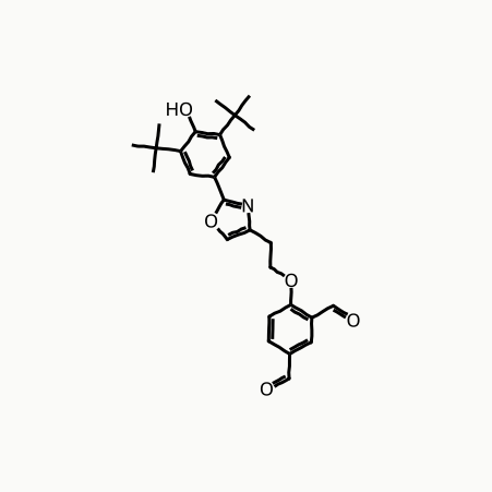 CC(C)(C)c1cc(-c2nc(CCOc3ccc(C=O)cc3C=O)co2)cc(C(C)(C)C)c1O